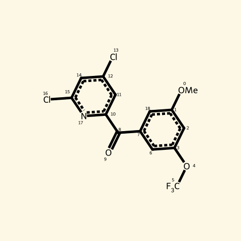 COc1cc(OC(F)(F)F)cc(C(=O)c2cc(Cl)cc(Cl)n2)c1